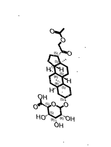 CC(=O)OCC(=O)[C@H]1CC[C@H]2[C@@H]3CC[C@@H]4C[C@@H](OC5O[C@H](C(=O)O)[C@@H](O)[C@@H](O)[C@H]5O)CC[C@]4(C)[C@H]3CC[C@]12C